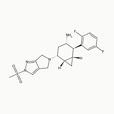 CS(=O)(=O)n1cc2c(n1)CN([C@@H]1C[C@H](N)[C@@H](c3cc(F)ccc3F)[C@@H]3C[C@@H]31)C2